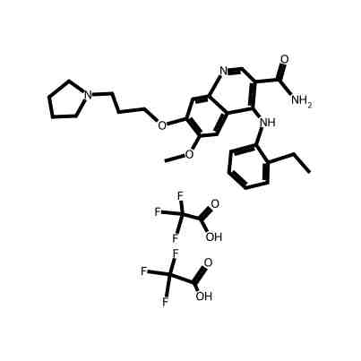 CCc1ccccc1Nc1c(C(N)=O)cnc2cc(OCCCN3CCCC3)c(OC)cc12.O=C(O)C(F)(F)F.O=C(O)C(F)(F)F